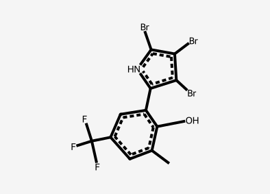 Cc1cc(C(F)(F)F)cc(-c2[nH]c(Br)c(Br)c2Br)c1O